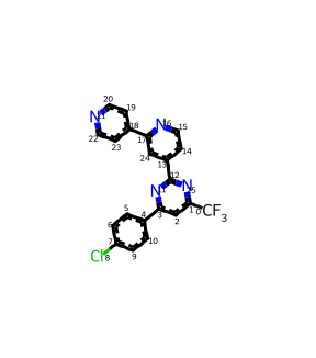 FC(F)(F)c1cc(-c2ccc(Cl)cc2)nc(-c2ccnc(-c3ccncc3)c2)n1